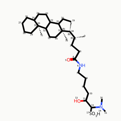 C[C@H](CCC(=O)NCCCCC(O)C(N(C)C)S(=O)(=O)O)[C@H]1CCC2C3CCC4CCCC[C@]4(C)C3CC[C@@]21C